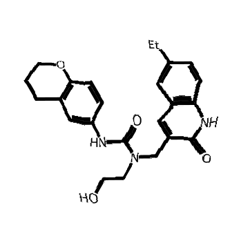 CCc1ccc2[nH]c(=O)c(CN(CCO)C(=O)Nc3ccc4c(c3)CCCO4)cc2c1